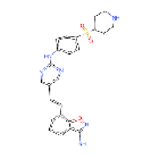 Nc1noc2c(C=Cc3cnc(Nc4ccc(S(=O)(=O)C5CCNCC5)cc4)nc3)cccc12